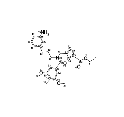 CCOC(=O)c1csc(CN(CCCc2cccc(N)c2)C(=O)c2cc(OC)c(C)c(OC)c2)n1